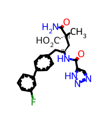 C[C@@](C[C@H](Cc1ccc(-c2cccc(F)c2)cc1)NC(=O)c1cnn[nH]1)(C(N)=O)C(=O)O